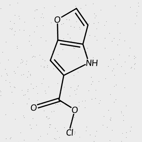 O=C(OCl)c1cc2occc2[nH]1